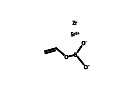 C=COB([O-])[O-].[Sr+2].[Zr]